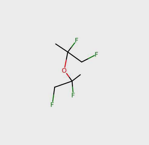 CC(F)(CF)OC(C)(F)CF